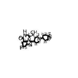 CC[C@@H]1CNC(=O)c2cc(F)cc3nc(C4CCN(C5CCC(F)(F)CC5)CC4)n1c23